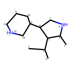 CC(C)C1C(C)NCC1C1CCCNC1